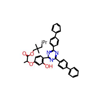 CC(C)CC(C)(C)COC(=O)C(C)Oc1ccc(-c2nc(-c3ccc(-c4ccccc4)cc3)nc(-c3ccc(-c4ccccc4)cc3)n2)c(O)c1